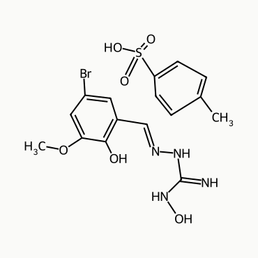 COc1cc(Br)cc(C=NNC(=N)NO)c1O.Cc1ccc(S(=O)(=O)O)cc1